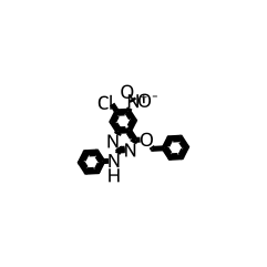 O=[N+]([O-])c1cc2c(OCc3ccccc3)nc(Nc3ccccc3)nc2cc1Cl